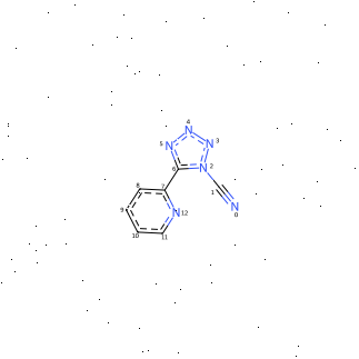 N#Cn1nnnc1-c1ccccn1